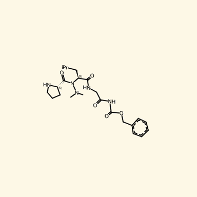 CC(C)C[C@@H](C(=O)NCC(=O)NC(=O)OCc1ccccc1)N(C(=O)[C@@H]1CCCN1)N(C)C